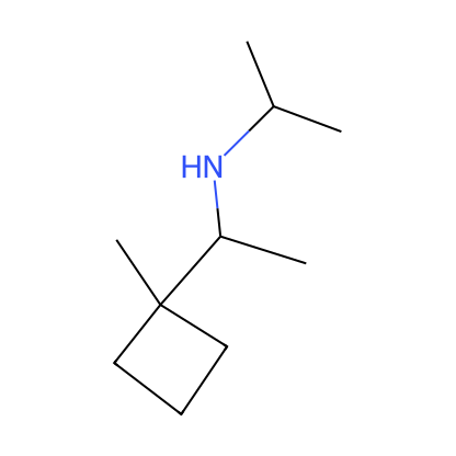 CC(C)NC(C)C1(C)CCC1